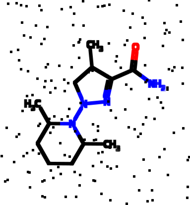 CC1CN(N2C(C)CCCC2C)N=C1C(N)=O